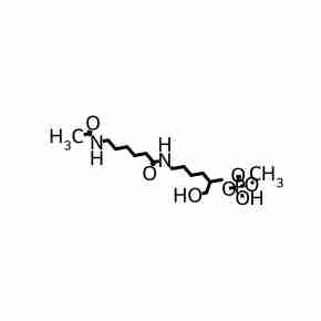 COP(=O)(O)OCC(CO)CCCCNC(=O)CCCCCNC(C)=O